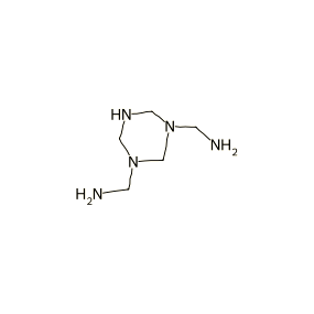 NCN1CNCN(CN)C1